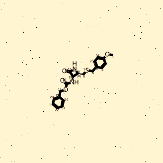 COc1ccc(CSC[C@@H]2NC(=O)[C@@H]2NC(=O)OCc2ccccc2)cc1